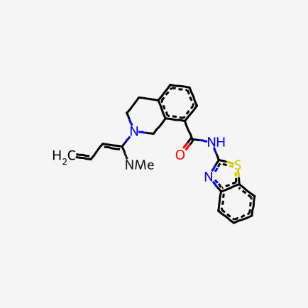 C=C/C=C(\NC)N1CCc2cccc(C(=O)Nc3nc4ccccc4s3)c2C1